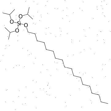 CCCCCCCCCCCCCCCCCCO[Si](OC(C)C)(OC(C)C)OC(C)C